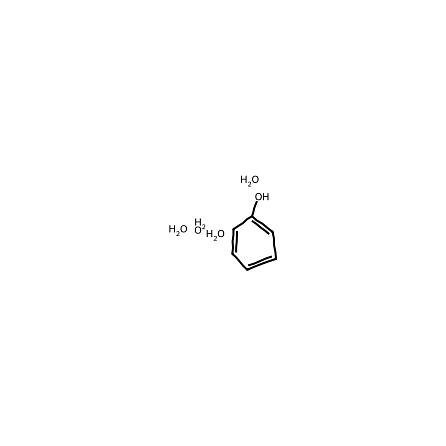 O.O.O.O.Oc1ccccc1